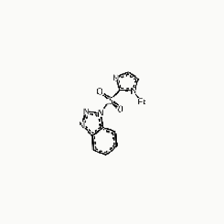 CCn1ccnc1S(=O)(=O)n1nnc2ccccc21